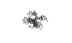 Cc1ccc(-c2cc(-c3ccc(C)c(C)c3)cc(-c3nc(-c4nc(C)c(C)c(C)c4C)nc(-c4nc(C)c(C)c(C)c4C)n3)c2)cc1C